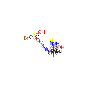 CC(/N=C\S)NC(=O)[C@@H]1C[C@@H](O)CN1C(=O)[C@@H](NCC(C=O)N1CCN(CCOCCOc2ccc(Oc3c(-c4ccc(Br)cc4)sc4cc(O)ccc34)cc2)CC1)C(C)(C)C